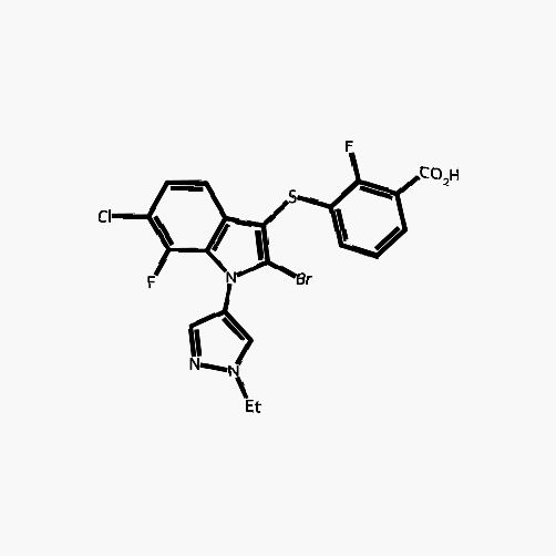 CCn1cc(-n2c(Br)c(Sc3cccc(C(=O)O)c3F)c3ccc(Cl)c(F)c32)cn1